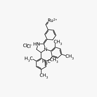 Cc1cc(C)c(C2CNC(=C3C=C([CH]=[Ru+2])C=CC3)N2c2c(C)cc(C)cc2C)c(C)c1.[Cl-].[Cl-]